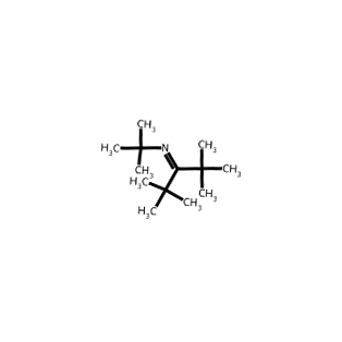 CC(C)(C)N=C(C(C)(C)C)C(C)(C)C